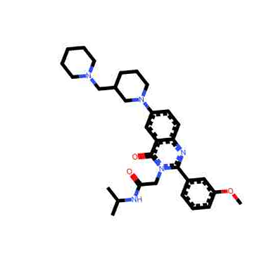 COc1cccc(-c2nc3ccc(N4CCCC(CN5CCCCC5)C4)cc3c(=O)n2CC(=O)NC(C)C)c1